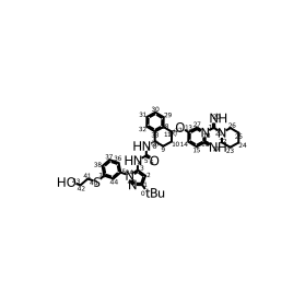 CC(C)(C)c1cc(NC(=O)N[C@H]2CC[C@@H](Oc3ccc(=N)n(C(=N)N4CCCCC4)c3)c3ccccc32)n(-c2cccc(SCCO)c2)n1